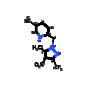 Cc1c([N+](=O)[O-])c(C(F)(F)F)nn1Cc1ccc(C#N)cn1